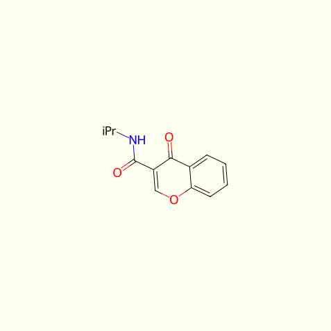 CC(C)NC(=O)c1coc2ccccc2c1=O